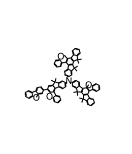 CC1(C)c2cc(N(c3ccc4c(c3)C(C)(C)c3c-4c4c(c5c3C(C)(C)c3ccccc3-5)COc3ccccc3-4)c3ccc4c(c3)C(C)(C)c3c5c(c6c(oc7ccccc76)c3-4)-c3ccccc3C5(C)C)ccc2-c2c1cc(-c1ccc3c(c1)oc1ccccc13)c1oc3ccccc3c21